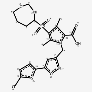 Cc1c(S(=O)(=O)C2CCCOCN2)c(C)n(Cc2cc(-c3ccc(Cl)s3)on2)c1C(=O)O